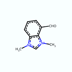 Cn1c[n+](C)c2c(C=O)cccc21